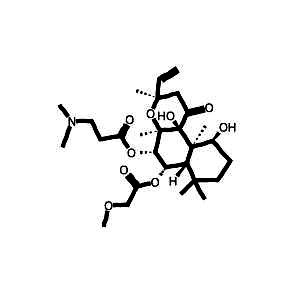 C=C[C@@]1(C)CC(=O)[C@]2(O)[C@@]3(C)[C@@H](O)CCC(C)(C)[C@@H]3[C@H](OC(=O)COC)[C@H](OC(=O)CCN(C)C)[C@@]2(C)O1